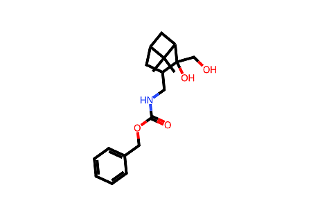 CC1(C)C2CC(CNC(=O)OCc3ccccc3)C(O)(CO)C1C2